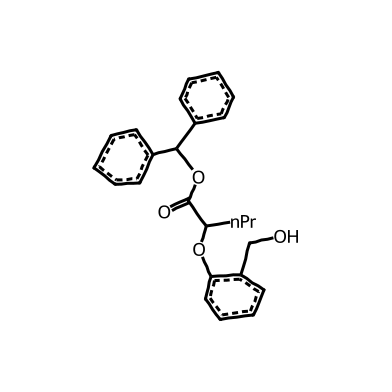 CCCC(Oc1ccccc1CO)C(=O)OC(c1ccccc1)c1ccccc1